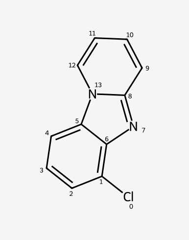 Clc1cccc2c1nc1ccccn12